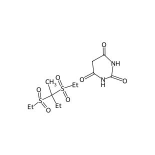 CCC(C)(S(=O)(=O)CC)S(=O)(=O)CC.O=C1CC(=O)NC(=O)N1